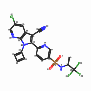 C[C@H](NS(=O)(=O)c1ccc(-c2c(C#N)c3cc(Cl)cnc3n2C2=CC=C2)nc1)C(F)(F)F